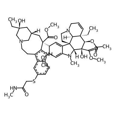 CC[C@]1(O)C[C@H]2CN(CCc3c([nH]c4ccc(SCC(=O)NC)cc34)[C@@](C(=O)OC)(C3C=C4C(=CC3OC)N(C)[C@H]3[C@@](O)(C(=O)OC)[C@H](OC(C)=O)[C@]5(CC)C=CCN6CC[C@]43[C@@H]65)C2)C1